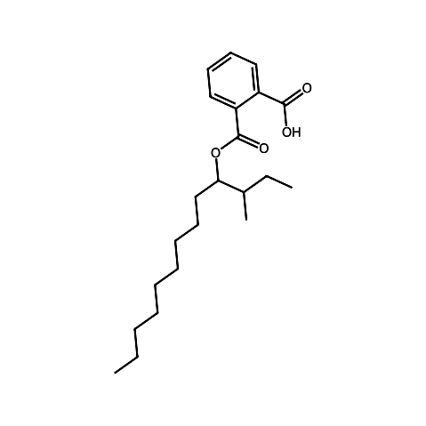 CCCCCCCCCC(OC(=O)c1ccccc1C(=O)O)C(C)CC